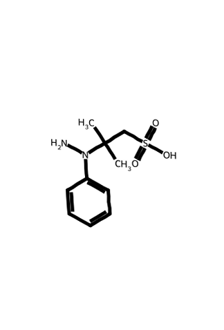 CC(C)(CS(=O)(=O)O)N(N)c1ccccc1